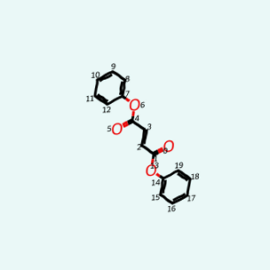 O=C(/C=C/C(=O)Oc1ccccc1)Oc1ccccc1